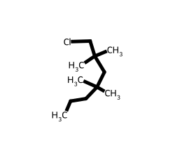 CCCC(C)(C)CC(C)(C)CCl